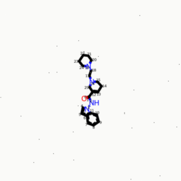 O=C(Nn1ccc2ccccc21)C1=CCCN(CCN2CCCCC2)C1